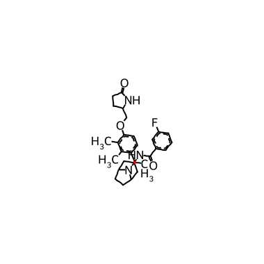 Cc1c(OCC2CCC(=O)N2)ccc(C(C)N2C3CCC2CC(NC(=O)c2cccc(F)c2)C3)c1C